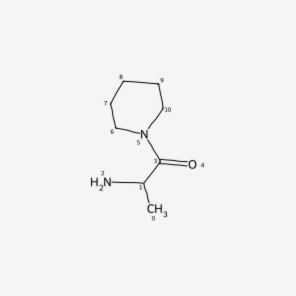 CC(N)C(=O)N1CCCCC1